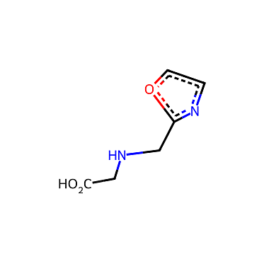 O=C(O)CNCc1ncco1